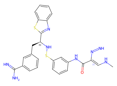 CN/C=C(\N=N)C(=O)Nc1cccc(SN[C@@H](Cc2cccc(C(=N)N)c2)c2nc3ccccc3s2)c1